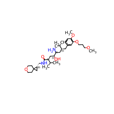 COCCCOc1cc(C[C@@H](C[C@H](N)[C@@H](O)C[C@H](C(=O)NC[C@@H]2CC23CCOCC3)C(C)C)C(C)C)ccc1OC